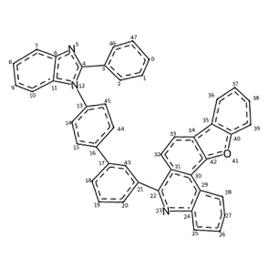 c1ccc(-c2nc3ccccc3n2-c2ccc(-c3cccc(-c4nc5ccccc5c5c4ccc4c6ccccc6oc45)c3)cc2)cc1